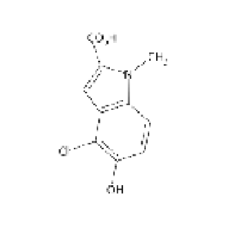 Cn1c(C(=O)O)cc2c(Cl)c(O)ccc21